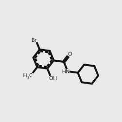 Cc1cc(Br)cc(C(=O)NC2CCCCC2)c1O